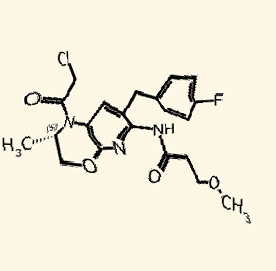 COCCC(=O)Nc1nc2c(cc1Cc1ccc(F)cc1)N(C(=O)CCl)[C@@H](C)CO2